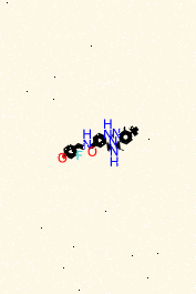 COc1ccc(CCNC(=O)c2ccc(N/C(=N/[C@H]3CCC[C@H](C(C)(C)C)[C@@H]3C)N3CCN[C@@H](C)C3)cc2)c(F)c1